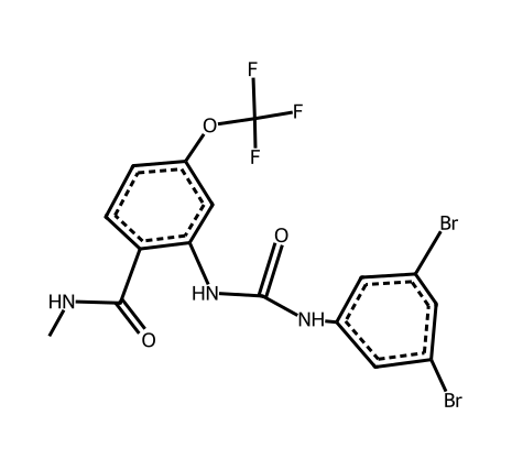 CNC(=O)c1ccc(OC(F)(F)F)cc1NC(=O)Nc1cc(Br)cc(Br)c1